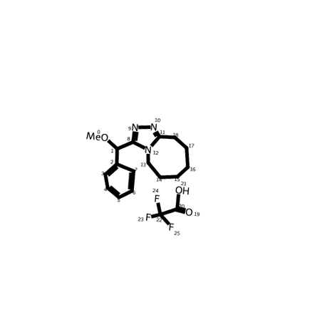 COC(c1ccccc1)c1nnc2n1CCCCCC2.O=C(O)C(F)(F)F